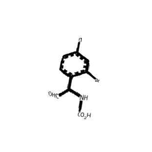 O=CC(NC(=O)O)c1ccc(Cl)cc1Br